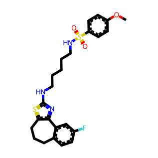 COc1ccc(S(=O)(=O)NCCCCCNc2nc3c(s2)CCCc2ccc(F)cc2-3)cc1